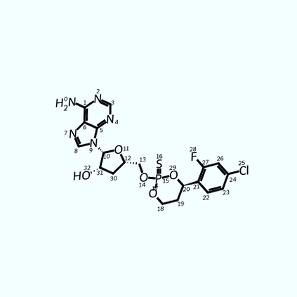 Nc1ncnc2c1ncn2[C@@H]1O[C@H](COP2(=S)OCC[C@H](c3ccc(Cl)cc3F)O2)C[C@@H]1O